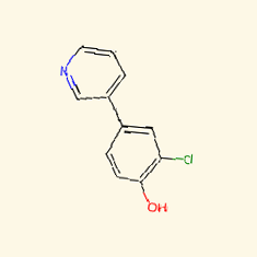 Oc1ccc(-c2c[c]cnc2)cc1Cl